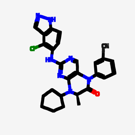 C[C@@H]1C(=O)N(c2cccc(C#N)c2)c2cnc(Nc3ccc4[nH]ncc4c3Cl)nc2N1C1CCCCC1